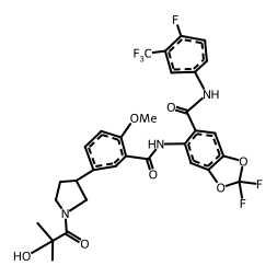 COc1ccc(C2CCN(C(=O)C(C)(C)O)C2)cc1C(=O)Nc1cc2c(cc1C(=O)Nc1ccc(F)c(C(F)(F)F)c1)OC(F)(F)O2